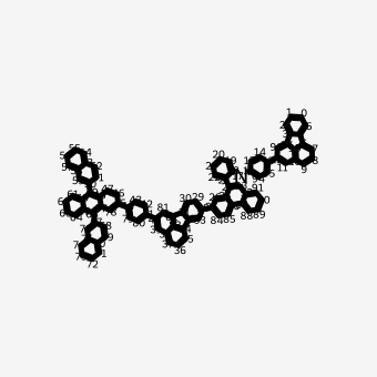 c1ccc2c(c1)-c1cccc3cc(-c4ccc(-n5c6ccccc6c6c7cc(-c8ccc9c(c8)-c8cccc%10cc(-c%11ccc(-c%12ccc%13c(-c%14ccc%15ccccc%15c%14)c%14ccccc%14c(-c%14ccc%15ccccc%15c%14)c%13c%12)cc%11)cc-9c8%10)ccc7c7ccccc7c65)cc4)cc-2c13